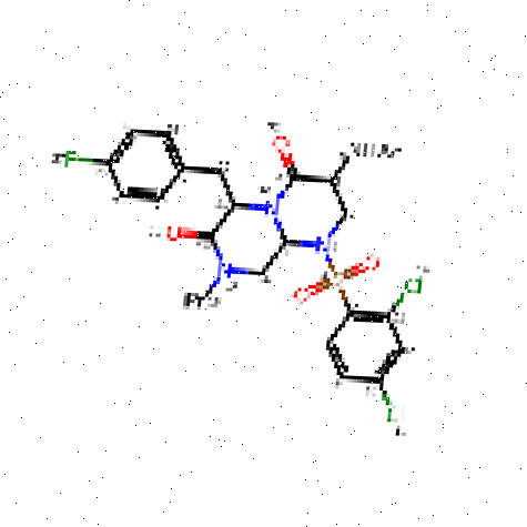 CC(=O)NC1CN(S(=O)(=O)c2ccc(Cl)cc2Cl)C2CN(C(C)C)C(=O)C(Cc3ccc(F)cc3)N2C1=O